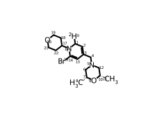 [2H]C1C=C(CN2C[C@@H](C)O[C@@H](C)C2)C=C(Br)N1C1CCOCC1